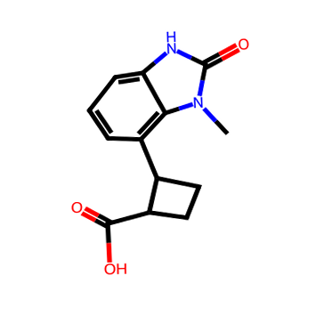 Cn1c(=O)[nH]c2cccc(C3CCC3C(=O)O)c21